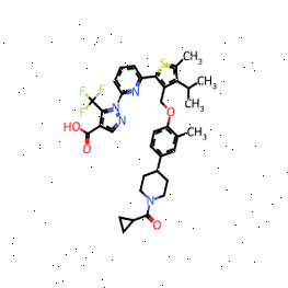 Cc1cc(C2CCN(C(=O)C3CC3)CC2)ccc1OCc1c(-c2cccc(-n3ncc(C(=O)O)c3C(F)(F)F)n2)sc(C)c1C(C)C